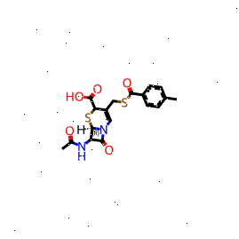 CC(=O)NC1C(=O)N2C=C(CSC(=O)c3ccc(C)cc3)C(C(=O)O)S[C@H]12